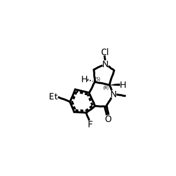 CCc1cc(F)c2c(c1)[C@H]1CN(Cl)C[C@@H]1N(C)C2=O